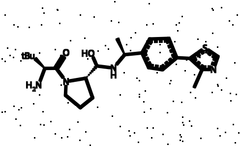 Cc1ncsc1-c1ccc([C@H](C)NC(O)[C@@H]2CCCN2C(=O)[C@@H](N)C(C)(C)C)cc1